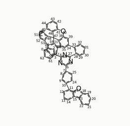 c1ccc(-c2nc(-c3ccc(-c4cccc5c4oc4ccccc45)cc3)nc(-c3ccccc3-c3ccc4c(c3)Oc3ccccc3C43c4ccccc4-c4ccccc43)n2)cc1